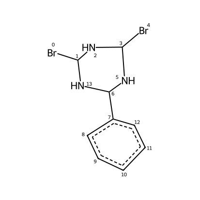 BrC1NC(Br)NC(c2ccccc2)N1